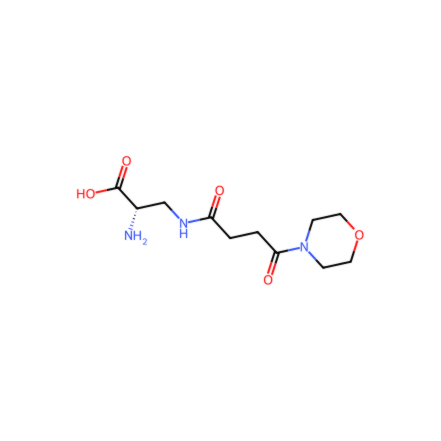 N[C@@H](CNC(=O)CCC(=O)N1CCOCC1)C(=O)O